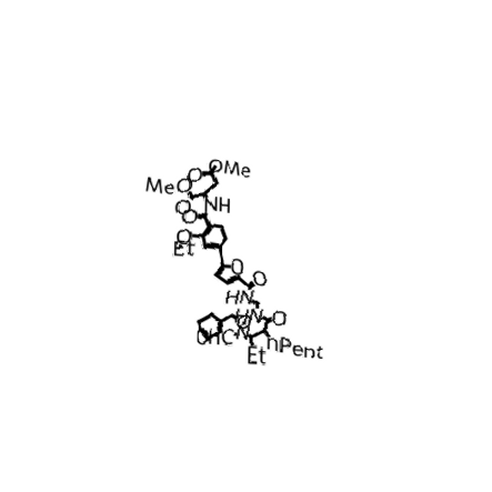 CCCCCC(C(=O)NCNC(=O)c1ccc(-c2ccc(C(=O)NC(CC(=O)OC)C(=O)OC)c(OCC)c2)o1)C(CC)N(C=O)OCc1ccccc1